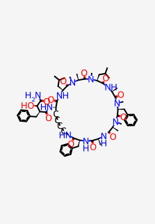 CC(C)C[C@@H]1NC(=O)[C@@H](NC(=O)[C@@H](Cc2ccccc2)C(O)C(N)=O)CCCCNC(=O)[C@H](Cc2ccccc2)NC(=O)[C@H](C)NC(=O)[C@H](C)N(C)C(=O)[C@H](Cc2ccccc2)N(C)C(=O)[C@H](C)NC(=O)[C@H](CC(C)C)N(C)C(=O)[C@H](C)N(C)C1=O